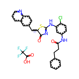 O=C(CCc1ccccc1)Nc1ccc(Cl)c(NC2=NC(=O)/C(=C/c3ccc4ncccc4c3)S2)c1.O=C(O)C(F)(F)F